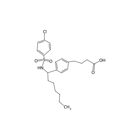 CCCCCCC(NS(=O)(=O)c1ccc(Cl)cc1)c1ccc(CCCC(=O)O)cc1